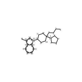 CCCCC1(N2CCCC2)CCC(n2cc(C)c3ccccc32)CC1